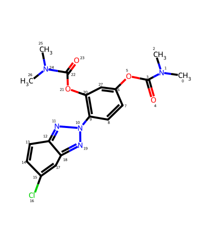 CN(C)C(=O)Oc1ccc(-n2nc3ccc(Cl)cc3n2)c(OC(=O)N(C)C)c1